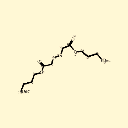 CCCCCCCCCCCCCOC(=O)CSSCC(=O)OCCCCCCCCCCCCC